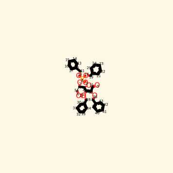 O=C1O[C@H]([C@H](CO)OP(=O)(OCc2ccccc2)OCc2ccccc2)C(OCc2ccccc2)=C1OCc1ccccc1